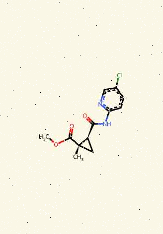 COC(=O)[C@@]1(C)C[C@@H]1C(=O)Nc1ccc(Cl)cn1